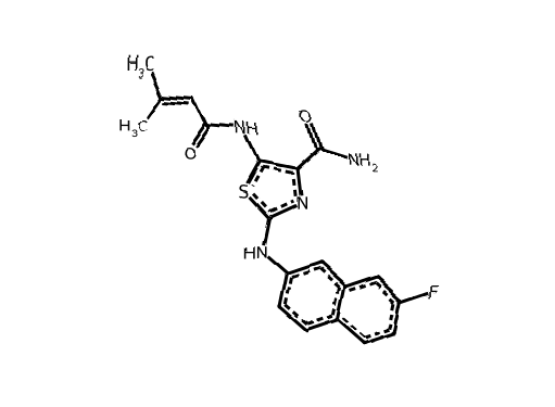 CC(C)=CC(=O)Nc1sc(Nc2ccc3ccc(F)cc3c2)nc1C(N)=O